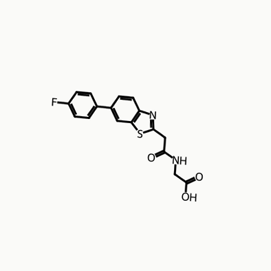 O=C(O)CNC(=O)Cc1nc2ccc(-c3ccc(F)cc3)cc2s1